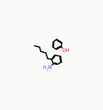 CCCCCc1ccccc1N.Oc1ccccc1